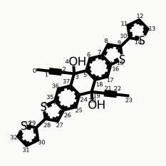 CC#CC1(O)c2cc3cc(-c4cccs4)sc3cc2C(O)(C#CC)c2cc3cc(-c4cccs4)sc3cc21